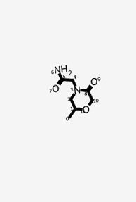 CC1CN(CC(N)=O)C(=O)CO1